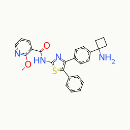 COc1ncccc1C(=O)Nc1nc(-c2ccc(C3(N)CCC3)cc2)c(-c2ccccc2)s1